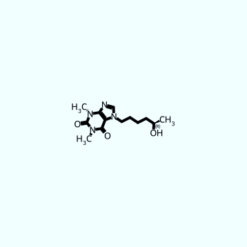 C[C@@H](O)CCCCn1cnc2c1c(=O)n(C)c(=O)n2C